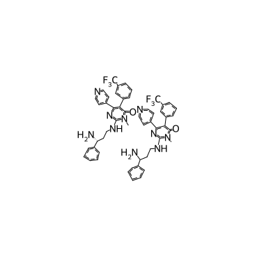 Cn1c(NCCC(N)c2ccccc2)nc(-c2ccncc2)c(-c2cccc(C(F)(F)F)c2)c1=O.Cn1c(NCC[C@@H](N)c2ccccc2)nc(-c2ccncc2)c(-c2cccc(C(F)(F)F)c2)c1=O